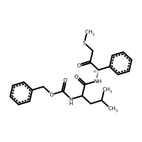 CSCC(=O)[C@@H](NC(=O)C(CC(C)C)NC(=O)OCc1ccccc1)c1ccccc1